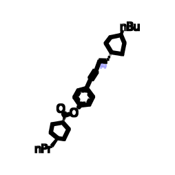 CCCC[C@H]1CC[C@H](/C=C/C#Cc2ccc(OC(=O)[C@H]3CC[C@H](CCC)CC3)cc2)CC1